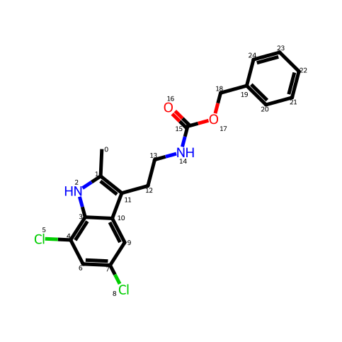 Cc1[nH]c2c(Cl)cc(Cl)cc2c1CCNC(=O)OCc1ccccc1